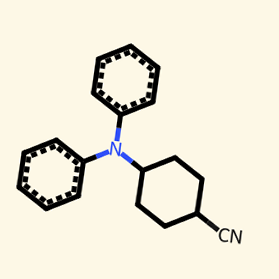 N#CC1CCC(N(c2ccccc2)c2ccccc2)CC1